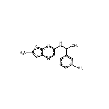 Cc1cc2ncc(NC(C)c3cccc(N)c3)nc2s1